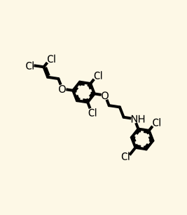 ClC(Cl)=CCOc1cc(Cl)c(OCCCNc2cc(Cl)ccc2Cl)c(Cl)c1